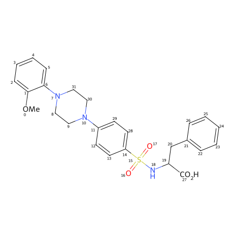 COc1ccccc1N1CCN(c2ccc(S(=O)(=O)NC(Cc3ccccc3)C(=O)O)cc2)CC1